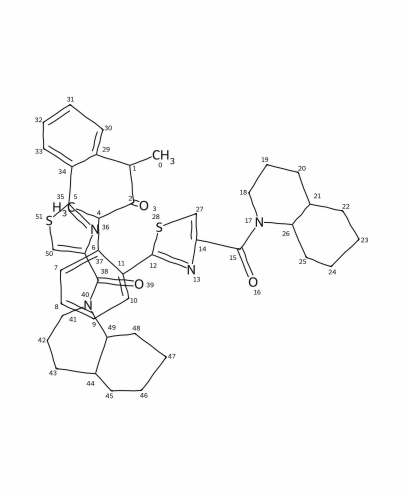 CC(C(=O)C(C)c1ccccc1-c1nc(C(=O)N2CCCC3CCCCC32)cs1)c1ccccc1-c1nc(C(=O)N2CCCC3CCCCC32)cs1